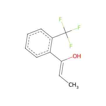 CC=C(O)c1ccccc1C(F)(F)F